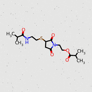 CC(C)C(=O)NCCSC1CC(=O)N(CCOC(=O)C(C)C)C1=O